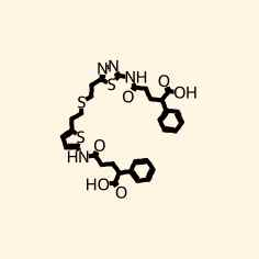 O=C(CCC(C(=O)O)c1ccccc1)Nc1ccc(CCSCCc2nnc(NC(=O)CCC(C(=O)O)c3ccccc3)s2)s1